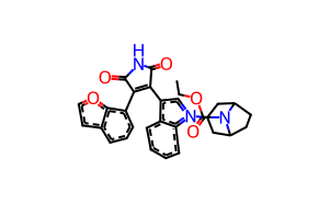 CCOC(=O)N1C2CCC1CC(n1cc(C3=C(c4cccc5ccoc45)C(=O)NC3=O)c3ccccc31)C2